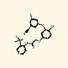 N#Cc1cc(Cl)cc(Oc2cc(OCC(=O)Nc3ccncc3C(F)(F)F)ccc2Cl)c1